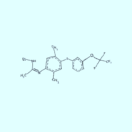 CCNC(C)=Nc1cc(C)c(Sc2cccc(OC(F)(F)C(F)(F)F)c2)cc1C